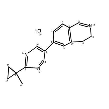 CC1(c2ncc(-c3ccc4c(c3)CCN=C4)cn2)CC1.Cl